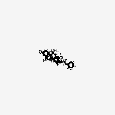 C[C@]12C=CC(=O)C=C1[C@@H](F)C[C@H]1[C@@H]3C[C@H]4CN(CCC5CCCCC5)O[C@@]4(C(=O)O)[C@@]3(C)C[C@H](O)[C@@]12F